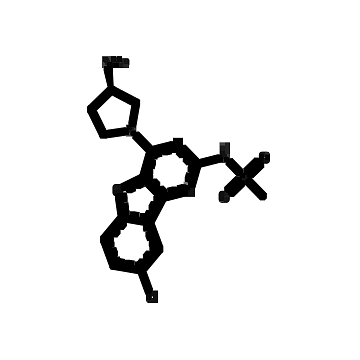 CN[C@@H]1CCN(c2nc(NS(C)(=O)=O)nc3c2oc2ccc(Cl)cc23)C1